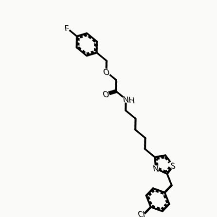 O=C(COCc1ccc(F)cc1)NCCCCCc1csc(Cc2ccc(Cl)cc2)n1